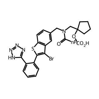 CCCC(=O)N(Cc1ccc2sc(-c3ccccc3-c3nnn[nH]3)c(Br)c2c1)CC1(OC(=O)O)CCCC1